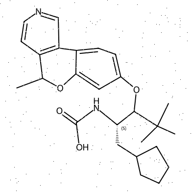 CC1Oc2cc(OC([C@H](CC3CCCC3)NC(=O)O)C(C)(C)C)ccc2-c2cnccc21